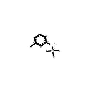 [CH2]c1cccc(O[Si](C)(C)C)c1